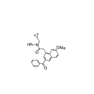 CCCN(CC1CC1)C(=O)Cc1cc(C(=O)c2ccccc2)cc2ccc(OC)cc12